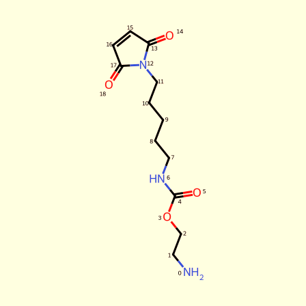 NCCOC(=O)NCCCCCN1C(=O)C=CC1=O